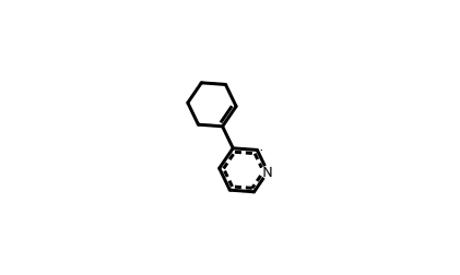 [c]1ncccc1C1=CCCCC1